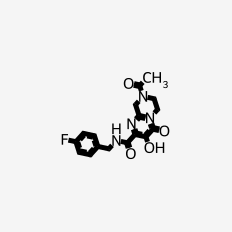 CC(=O)N1CCn2c(nc(C(=O)NCc3ccc(F)cc3)c(O)c2=O)C1